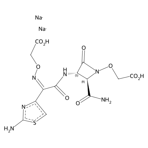 NC(=O)[C@H]1[C@H](NC(=O)C(=NOCC(=O)O)c2csc(N)n2)C(=O)N1OCC(=O)O.[Na].[Na]